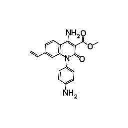 C=Cc1ccc2c(N)c(C(=O)OC)c(=O)n(-c3ccc(N)cc3)c2c1